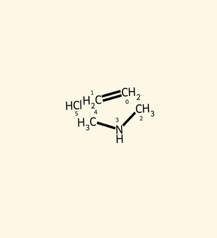 C=C.CNC.Cl